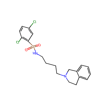 O=S(=O)(NCCCCN1CCc2ccccc2C1)c1cc(Cl)ccc1Cl